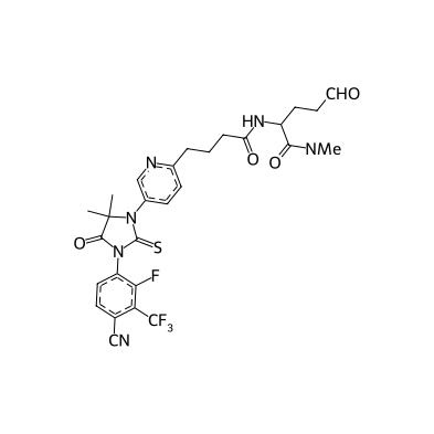 CNC(=O)C(CCC=O)NC(=O)CCCc1ccc(N2C(=S)N(c3ccc(C#N)c(C(F)(F)F)c3F)C(=O)C2(C)C)cn1